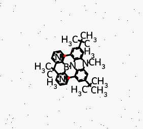 CN1c2cc(C(C)(C)C)cc(C#N)c2N(B2c3ccccc3C(C)(C)c3ccccc32)c2c(C#N)cc(C(C)(C)C)cc21